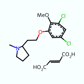 COc1c(Cl)cc(Cl)cc1OCCC1CCCN1C.O=C(O)C=CC(=O)O